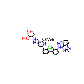 COc1nc(-c2cccc(-c3cccc(Nc4nc(C)nc5cccnc45)c3C)c2Cl)ccc1CNC1CCOCC1O